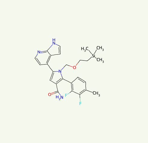 Cc1ccc(-c2c(C(N)=O)cc(-c3ccnc4[nH]ccc34)n2COCC[Si](C)(C)C)c(F)c1F